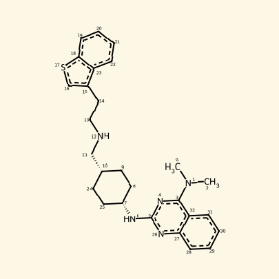 CN(C)c1nc(N[C@H]2CC[C@@H](CNCCc3csc4ccccc34)CC2)nc2ccccc12